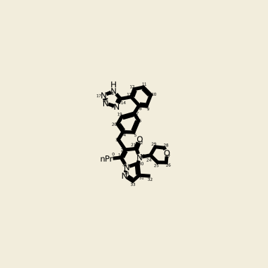 CCCc1c(Cc2ccc(-c3ccccc3-c3nnn[nH]3)cc2)c(=O)n(C2CCOCC2)c2c(C)cnn12